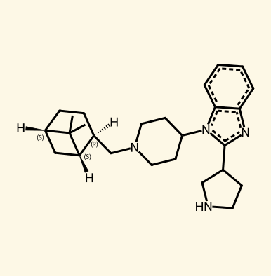 CC1(C)[C@H]2CC[C@@H](CN3CCC(n4c(C5CCNC5)nc5ccccc54)CC3)[C@@H]1C2